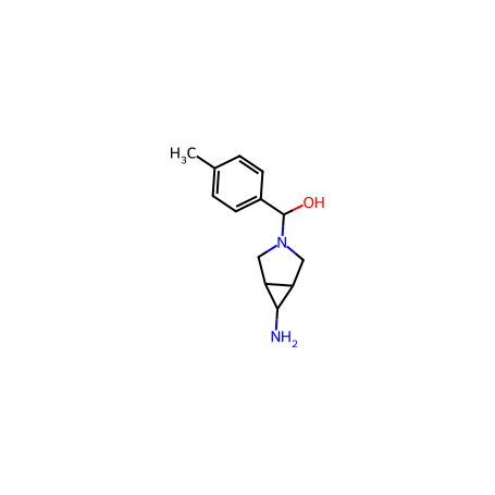 Cc1ccc(C(O)N2CC3C(N)C3C2)cc1